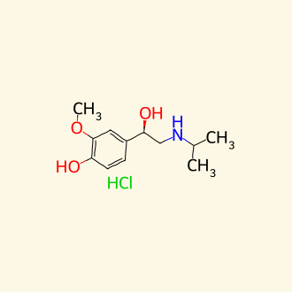 COc1cc([C@@H](O)CNC(C)C)ccc1O.Cl